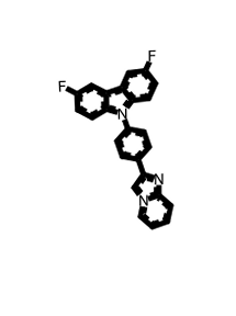 Fc1ccc2c(c1)c1cc(F)ccc1n2-c1ccc(-c2cn3ccccc3n2)cc1